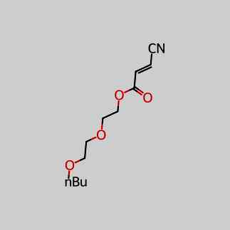 CCCCOCCOCCOC(=O)C=CC#N